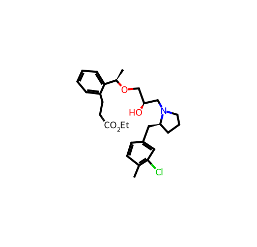 CCOC(=O)CCc1ccccc1[C@@H](C)OC[C@H](O)CN1CCC[C@H]1Cc1ccc(C)c(Cl)c1